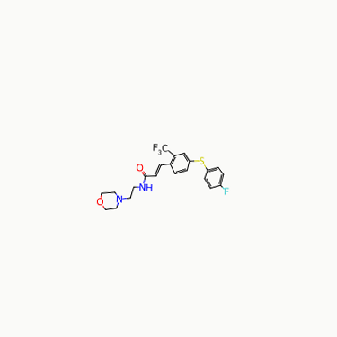 O=C(/C=C/c1ccc(Sc2ccc(F)cc2)cc1C(F)(F)F)NCCN1CCOCC1